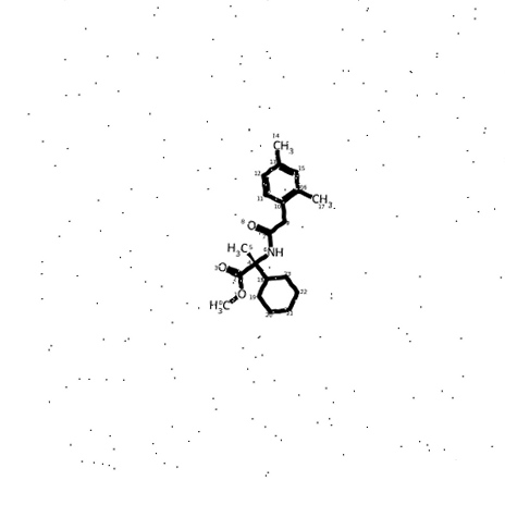 COC(=O)[C@](C)(NC(=O)Cc1ccc(C)cc1C)C1CCCCC1